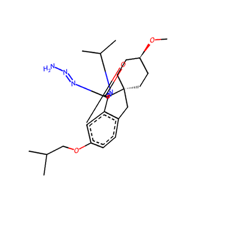 CO[C@H]1CC[C@]2(CC1)Cc1ccc(OCC(C)C)cc1C21N=C(N=NN)N(C(C)C)C1=O